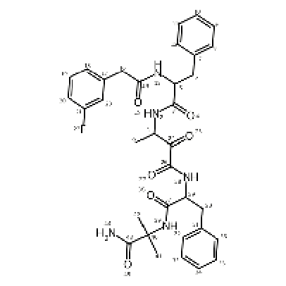 CC(NC(=O)C(Cc1ccccc1)NC(=O)Cc1cccc(F)c1)C(=O)C(=O)NC(Cc1ccccc1)C(=O)NC(C)(C)C(N)=O